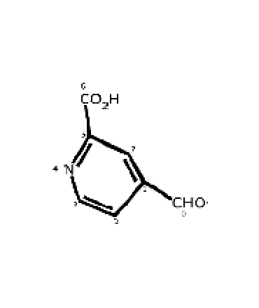 O=[C]c1ccnc(C(=O)O)c1